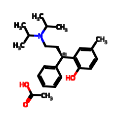 CC(=O)O.Cc1ccc(O)c([C@H](CCN(C(C)C)C(C)C)c2ccccc2)c1